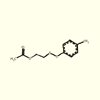 CC(=O)OCCSSc1ccc(C)cc1